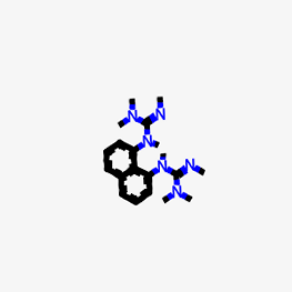 C/N=C(\N(C)C)N(C)c1cccc2cccc(N(C)/C(=N/C)N(C)C)c12